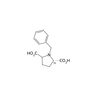 O=C(O)C1CC[C@@H](C(=O)O)N1Cc1ccccc1